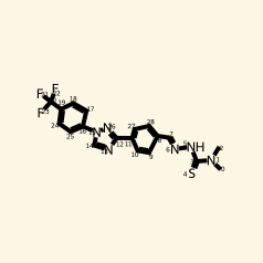 CN(C)C(=S)N/N=C/c1ccc(-c2ncn(-c3ccc(C(F)(F)F)cc3)n2)cc1